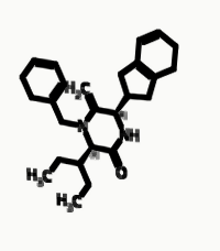 C=C1[C@@H](C2CC3=C(CCC=C3)C2)NC(=O)[C@@H](C(CC)CC)N1CC1=CC=CCC1